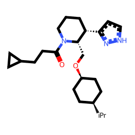 CC(C)[C@H]1CC[C@@H](OC[C@H]2[C@@H](c3cc[nH]n3)CCCN2C(=O)CCC2CC2)CC1